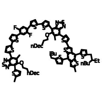 CCCCCCCCCCCCOc1c(C)c(-c2ccc(-c3ccc(-c4cc(F)c(-c5ccc(-c6ccc(-c7c(OCCCCCCCCCCCC)c(C)c(-c8ccc(-c9cc%10c(-c%11ccc(CC(CC)CCCC)s%11)c%11sc(C)cc%11c(-c%11ccc(CC(C)CC)s%11)c%10s9)s8)c8nsnc78)s6)s5)cc4F)s3)s2)c2nsnc2c1-c1ccc(C)s1